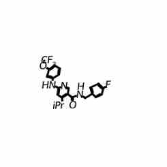 CC(C)c1cc(Nc2cccc(OC(F)(F)F)c2)ncc1C(=O)NCc1ccc(F)cc1